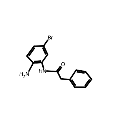 Nc1ccc(Br)cc1NC(=O)Cc1ccccc1